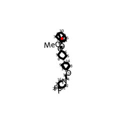 COC1(OO[C@H]2CC[C@@H](c3ccc(OCCN4CCC(F)(F)CC4)cc3)CC2)C2CC3CC(C2)CC1C3